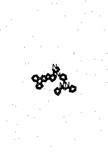 c1ccc(-c2cc(-c3ccccc3)nc(-c3cccc(-n4c5ccncc5c5c6c(ccc54)-c4cc5c7ccccc7c7ccccc7c5cc4C6)c3)n2)cc1